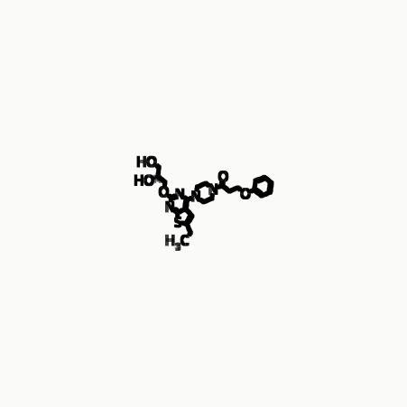 CCc1cc2c(N3CCN(C(=O)CCOc4ccccc4)CC3)nc(OC[C@H](O)CO)nc2s1